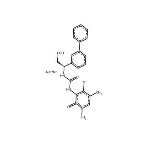 Cc1cn(C)c(=O)c(NC(=O)N[C@@H](CC(=O)[O-])c2cccc(-c3ccccc3)c2)c1[O-].[Na+].[Na+]